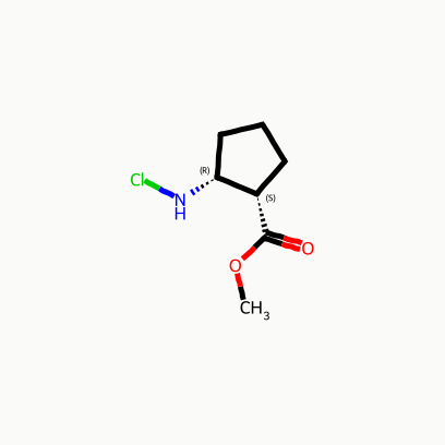 COC(=O)[C@H]1CCC[C@H]1NCl